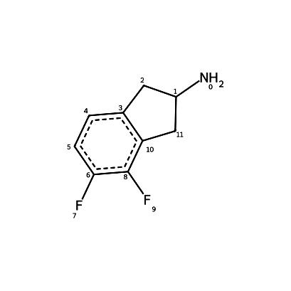 NC1Cc2ccc(F)c(F)c2C1